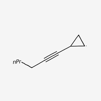 CCCCC#CC1[CH]C1